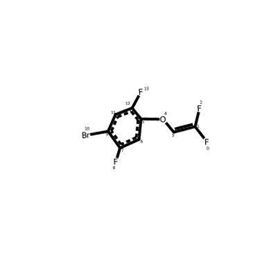 FC(F)=COc1cc(F)c(Br)cc1F